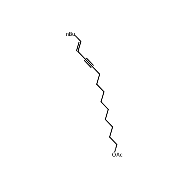 CCCCC=CC#CCCCCCCCCCOC(C)=O